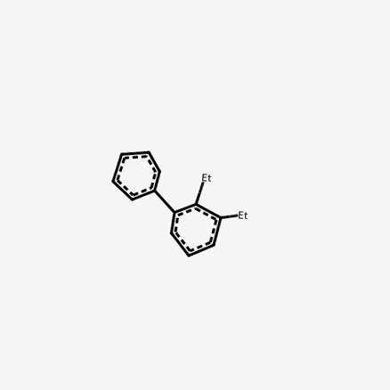 CCc1cccc(-c2ccccc2)c1CC